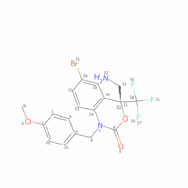 COc1ccc(CN2C(=O)O[C@@](CN)(C(F)(F)F)c3cc(Br)ccc32)cc1